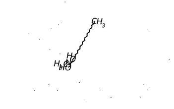 CCCCCCCCCCCCCCCCCCOCC(CO)NC